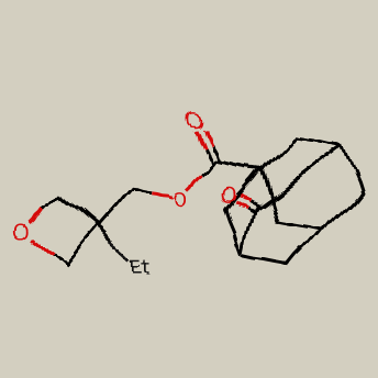 CCC1(COC(=O)C23CC4CC(C2)C(=O)C(C4)C3)COC1